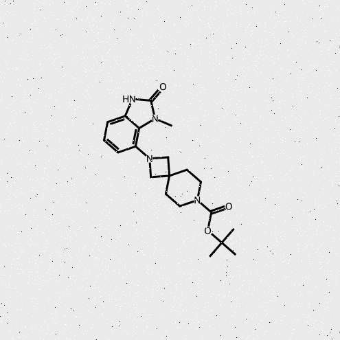 Cn1c(=O)[nH]c2cccc(N3CC4(CCN(C(=O)OC(C)(C)C)CC4)C3)c21